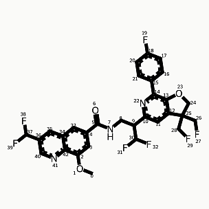 COc1cc(C(=O)NCC(c2cc3c(c(-c4ccc(F)cc4)n2)OCC3(CF)CF)C(F)F)cc2cc(C(F)F)cnc12